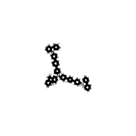 CN(c1ccc(-c2ccc(-c3ccc(N(C4=CCC5(C)C(=C4)C(C)(C)c4ccccc45)c4ccc(-c5ccc(-c6ccc(-n7c8ccccc8c8ccccc87)cc6)cc5)cc4)cc3)cc2)cc1)c1ccccc1-c1ccccc1